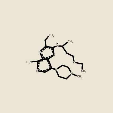 CCOCCC(C)Nc1nc2c(N3CCN(C)CC3)cnc(N)c2nc1CC